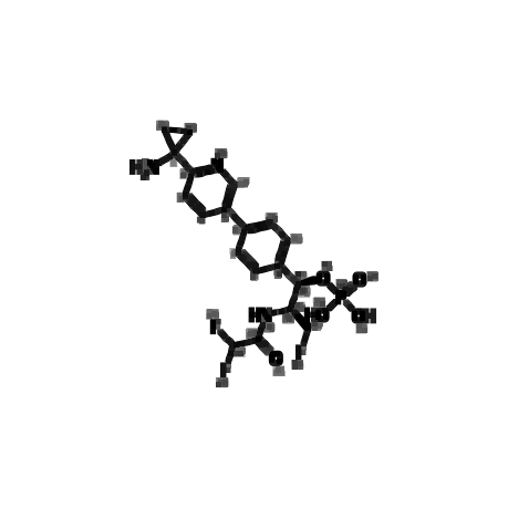 NC1(c2ccc(-c3ccc([C@@H](OP(=O)(O)O)[C@@H](CF)NC(=O)C(F)F)cc3)cn2)CC1